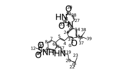 COc1c(C=Cc2ccc(NS(C)(=O)=O)cc2CNCCC(C)C)cc(-n2ccc(=O)[nH]c2=O)cc1C(C)(C)C